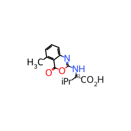 Cc1cccc2nc(N[C@H](C(=O)O)C(C)C)oc(=O)c12